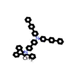 Cc1c(-c2ccccc2)n(-c2ccc(-c3ccc(N(c4ccc(-c5ccc(-c6ccccc6)cc5)cc4)c4ccc(-c5ccc(-c6ccccc6)cc5)cc4)cc3)cc2)c2c3ccccc3c3ccccc3c12